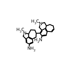 CN1Cc2c(C3CCC4c5c(cc(N)cc5CN4C)C3)c(N)cc3c2C(CCC=C3)C1